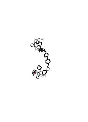 O=C(O)N(C(c1ccccc1)c1cccc(OCCc2ccc(-c3ccc(CNCC(O)c4ccc(O)c5[nH]c(=O)ccc45)cc3)cc2)c1)C1CN2CCC1CC2